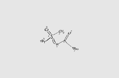 CCCS(C)(=O)=NC(=O)C(C)(C)C